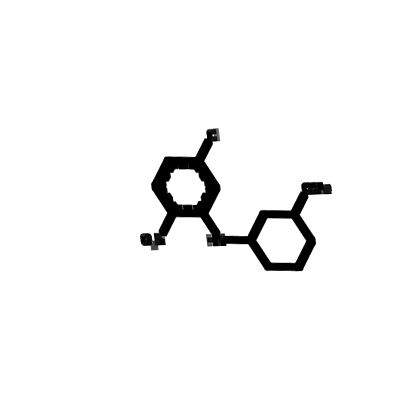 COC1CCCC(Nc2cc(Cl)ccc2[N+](=O)[O-])C1